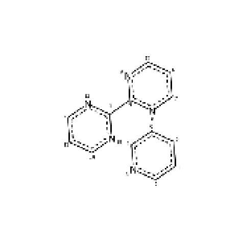 c1ccncc1.c1cnc(-c2ncccn2)nc1